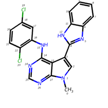 Cn1cc(-c2nc3ccccc3[nH]2)c2c(Nc3cc(Cl)ccc3Cl)ncnc21